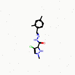 Cc1ccc(/C=N/NC(=O)C2NN(C)C=C2Cl)c(C)c1